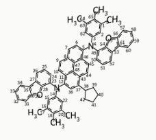 Cc1cc(N(c2ccc3ccc4c(N(c5cc(C)c(C)c(C)c5)c5cccc6c5oc5ccccc56)cc(C5CCCC5)c5ccc2c3c54)c2cccc3c2oc2ccccc23)cc(C)c1C